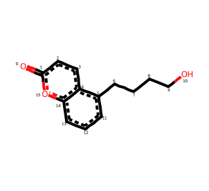 O=c1ccc2c(CCCCO)cccc2o1